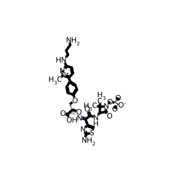 C[n+]1nc(NCCCN)ccc1-c1ccc(OC[C@H](O/N=C(\C(=O)NC2C(=O)N(OS(=O)(=O)[O-])C2(C)C)c2csc(N)n2)C(=O)O)cc1